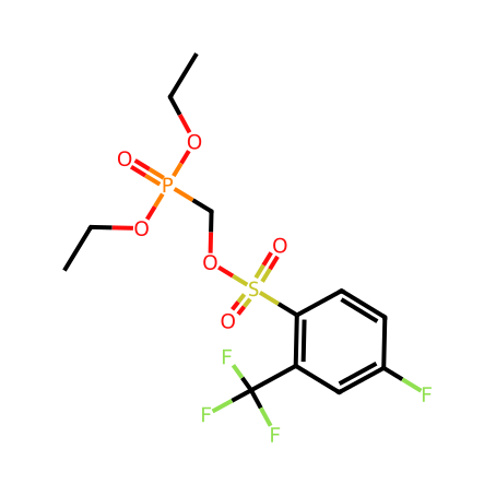 CCOP(=O)(COS(=O)(=O)c1ccc(F)cc1C(F)(F)F)OCC